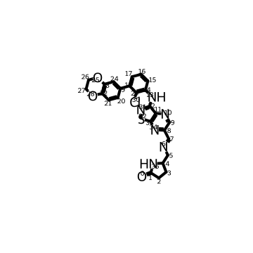 O=C1CCC(CN=Cc2cnc3c(Nc4cccc(-c5ccc6c(c5)OCCO6)c4Cl)nsc3n2)N1